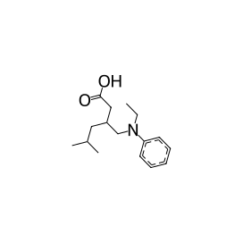 CCN(CC(CC(=O)O)CC(C)C)c1ccccc1